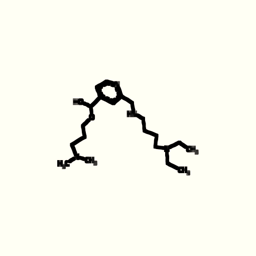 CCN(CC)CCCCNCc1cc(C(O)OCCCN(C)C)ccn1